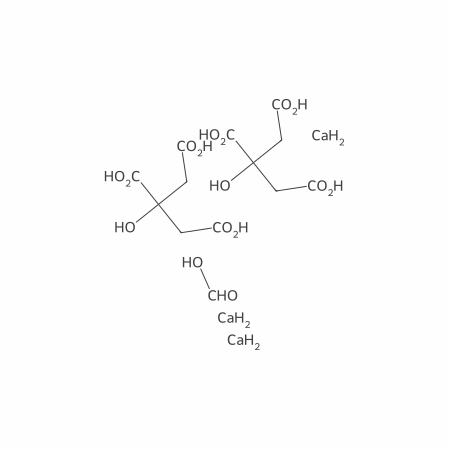 O=C(O)CC(O)(CC(=O)O)C(=O)O.O=C(O)CC(O)(CC(=O)O)C(=O)O.O=CO.[CaH2].[CaH2].[CaH2]